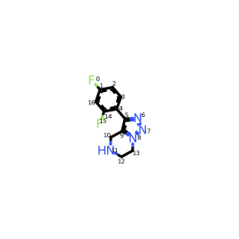 Fc1ccc(-c2nnn3c2CNCC3)c(F)c1